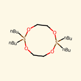 CCCCS1(CCCC)OCCOS(CCCC)(CCCC)OCCO1